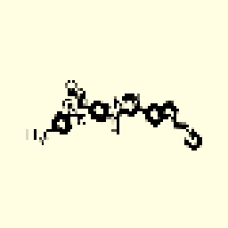 Cc1ccc(S(=O)(=O)N(OC=O)c2ccc(Nc3cc(-c4ccc5c(ccn5CCN5CCCC5)c4)ncn3)cc2)cc1